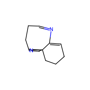 C1=CN=C2CCC=NC3=CCCCC32C1